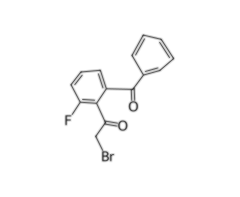 O=C(c1ccccc1)c1cccc(F)c1C(=O)CBr